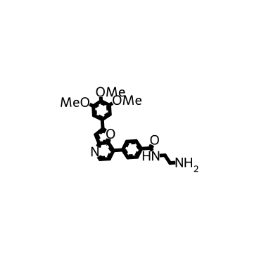 COc1cc(-c2cc3nccc(-c4ccc(C(=O)NCCN)cc4)c3o2)cc(OC)c1OC